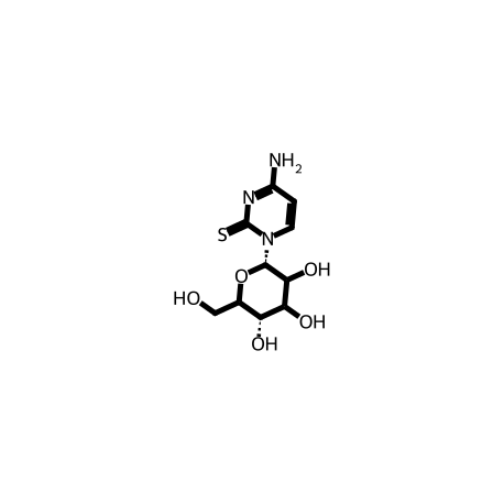 Nc1ccn([C@H]2OC(CO)[C@@H](O)C(O)C2O)c(=S)n1